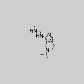 CNCNc1ncn2c1CN(C(C)C)CC2